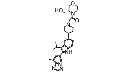 Cc1cc(-c2[nH]c3ccc(C4CCN(CC(=O)N5CCOC[C@H]5CO)CC4)cc3c2C(C)C)cn2ncnc12